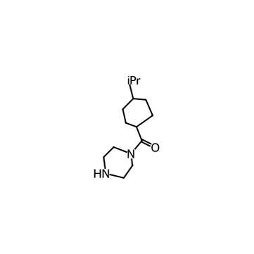 CC(C)C1CCC(C(=O)N2CCNCC2)CC1